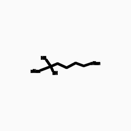 CCCCCCCCCCCCCC(S)(S)CCCCCCCCC